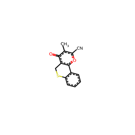 Cc1c(C#N)oc2c(c1=O)CSc1ccccc1-2